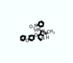 CPn1nc(Nc2ccccc2[N+](=O)[O-])c2c(Oc3ccc(Oc4ccccc4)cc3)ccnc21